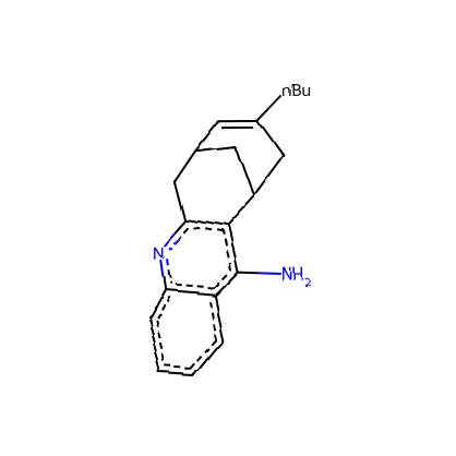 CCCCC1=CC2Cc3nc4ccccc4c(N)c3C(C1)C2